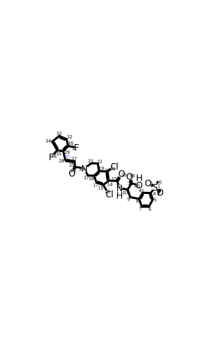 CS(=O)(=O)c1cccc(CC(NC(=O)c2c(Cl)cc3c(c2Cl)CCN(C(=O)/C=C/c2c(F)cccc2F)C3)C(=O)O)c1